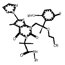 COc1ccc(F)cc1[C@@](C)(Cn1c(=O)n(C(C)(C)C(=O)NC(C)C)c(=O)c2c(C)c(-n3nccn3)sc21)OCCC#N